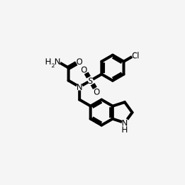 NC(=O)CN(Cc1ccc2c(c1)CCN2)S(=O)(=O)c1ccc(Cl)cc1